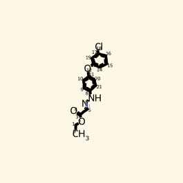 CCOC(=O)/C=N/Nc1ccc(Oc2cccc(Cl)c2)cc1